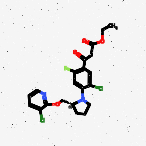 CCOC(=O)CC(=O)c1cc(Cl)c(N2CCC[C@@H]2COc2ncccc2Cl)cc1F